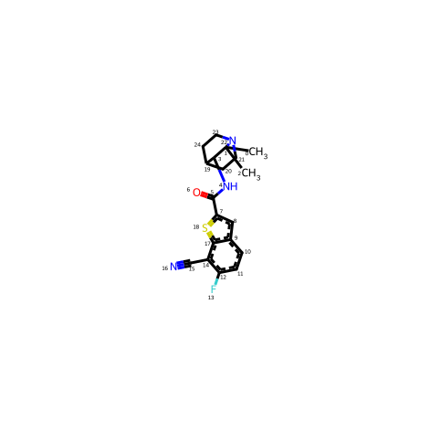 CC1(C)C(NC(=O)c2cc3ccc(F)c(C#N)c3s2)C2CCN1CC2